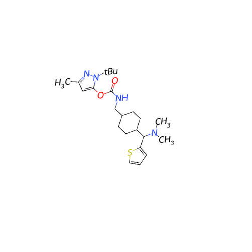 Cc1cc(OC(=O)NCC2CCC(C(c3cccs3)N(C)C)CC2)n(C(C)(C)C)n1